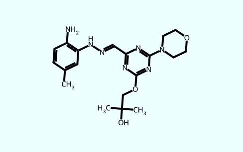 Cc1ccc(N)c(NN=Cc2nc(OCC(C)(C)O)nc(N3CCOCC3)n2)c1